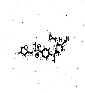 N#Cc1cnc(Nc2ccc(S(=O)(=O)NCC3CCCO3)cc2)nc1NC1CC1